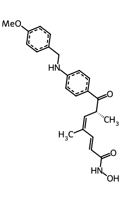 COc1ccc(CNc2ccc(C(=O)[C@H](C)C=C(C)C=CC(=O)NO)cc2)cc1